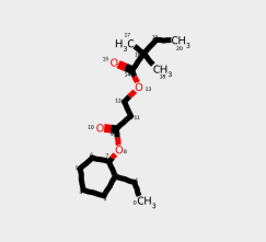 CCC1CCCCC1OC(=O)CCOC(=O)C(C)(C)CC